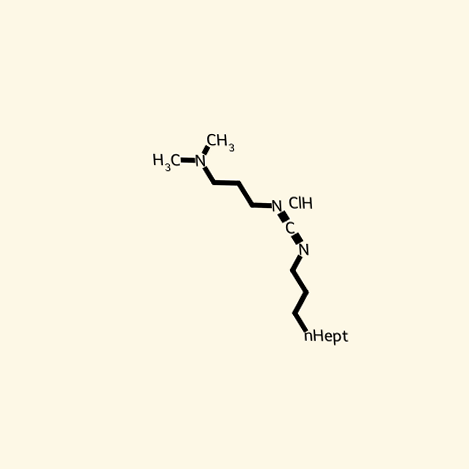 CCCCCCCCCCN=C=NCCCN(C)C.Cl